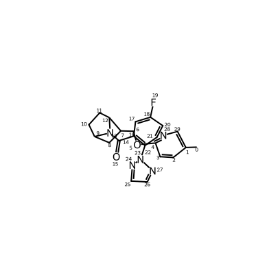 Cc1ccc(OCC2CC3CCC2N3C(=O)c2cc(F)ccc2-n2nccn2)nc1